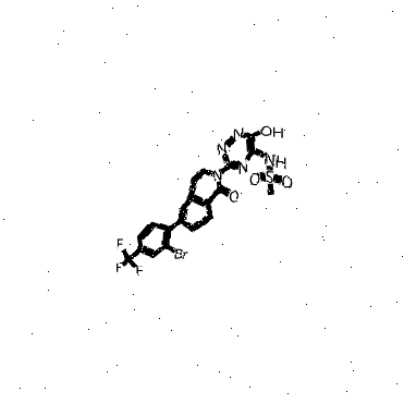 CS(=O)(=O)Nc1nc(N2CCc3cc(-c4ccc(C(F)(F)F)cc4Br)ccc3C2=O)nnc1O